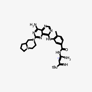 Cc1ccc(C(=O)N/C(N)=C/C(=N)C(C)(C)C)cc1Nc1ncnc2c(N)nc(N3CCN4CCCC4C3)nc12